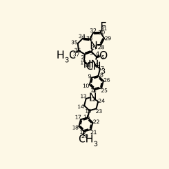 CCC1=C(C(=O)NCc2ccc(N3CCC(c4ccc(C)cc4)CC3)cc2)N2C=CC(F)=CC2=CCC1C